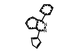 C1=CC(c2nnc(-c3ccccc3)c3ccccc23)=CC1